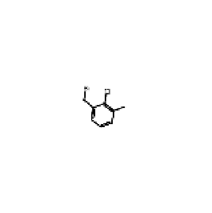 [CH2]c1cccc(CBr)c1Cl